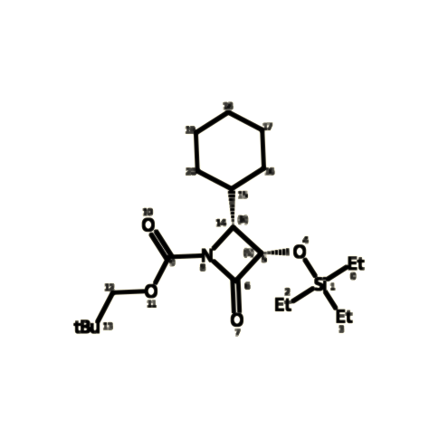 CC[Si](CC)(CC)O[C@@H]1C(=O)N(C(=O)OCC(C)(C)C)[C@@H]1C1CCCCC1